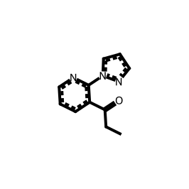 CCC(=O)c1cccnc1-n1cccn1